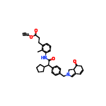 Cc1c(CCC(=O)OC(C)(C)C)cccc1NC(=O)C(c1ccc(CN2C=C3C=CCC(=O)C3C2)cc1)C1CCCC1